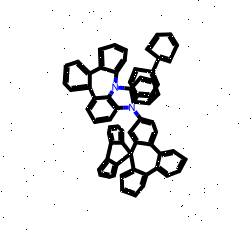 c1ccc(-c2ccc(N(c3ccc4c(c3)C3(c5ccccc5-c5ccccc5-4)c4ccccc4-c4ccccc43)c3cccc4c3N(c3ccccc3)c3ccccc3-c3ccccc3-4)cc2)cc1